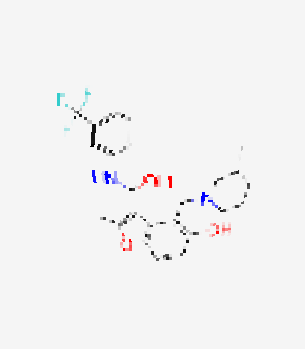 Cc1oc2ccc(O)c(CN3CCC[C@@H](C)C3)c2c1C(O)Nc1cccc(C(F)(F)F)c1